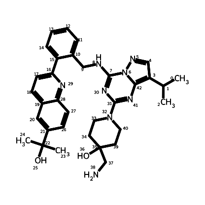 CC(C)c1cnn2c(NCc3ccccc3-c3ccc4cc(C(C)(C)O)ccc4n3)nc(N3CCC(O)(CN)CC3)nc12